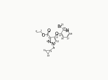 CCOC(=O)c1nn(CC2CC2)cc1Oc1cccnc1Br